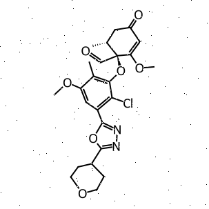 COC1=CC(=O)C[C@@H](C)[C@]1(C=O)Oc1c(C)c(OC)cc(-c2nnc(C3CCOCC3)o2)c1Cl